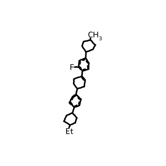 CCC1CCC(c2ccc(C3CC=C(c4ccc(C5CCC(C)CC5)cc4F)CC3)cc2)CC1